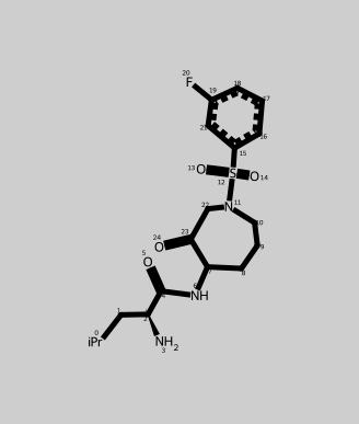 CC(C)C[C@H](N)C(=O)NC1CCCN(S(=O)(=O)c2cccc(F)c2)CC1=O